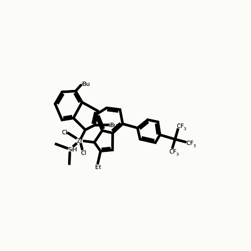 CCC1=Cc2c(-c3ccc(C(C(F)(F)F)(C(F)(F)F)C(F)(F)F)cc3)cccc2[CH]1[Zr]([Cl])([Cl])([CH]1C(C(C)CC)=Cc2c(C(C)CC)cccc21)[SiH](C)C